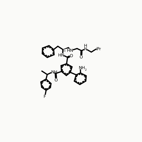 CC(C)CNC(=O)CNC[C@H](Cc1ccccc1)NC(=O)c1cc(C(=O)NC(C)c2ccc(F)cc2)cc(-c2ccccc2N)c1